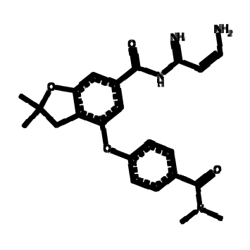 CN(C)C(=O)c1ccc(Oc2cc(C(=O)NC(=N)/C=C\N)cc3c2CC(C)(C)O3)cc1